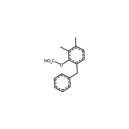 Cc1ccc(Cc2ccccc2)c(OC(=O)O)c1C